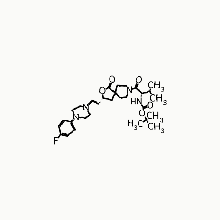 CC(C)[C@H](NC(=O)OC(C)(C)C)C(=O)N1CCC2(CC1)C[C@H](CCN1CCN(c3ccc(F)cc3)CC1)OC2=O